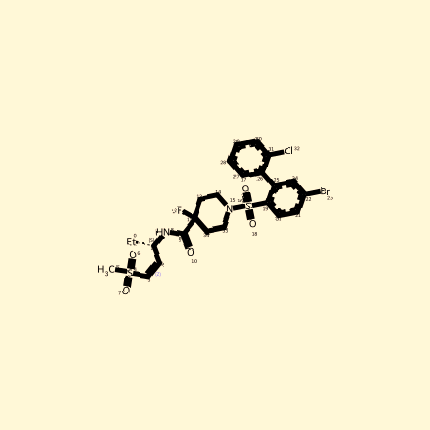 CC[C@@H](/C=C\S(C)(=O)=O)NC(=O)C1(F)CCN(S(=O)(=O)c2ccc(Br)cc2-c2ccccc2Cl)CC1